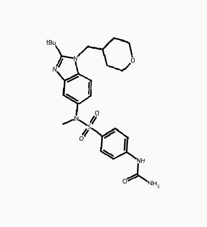 CN(c1ccc2c(c1)nc(C(C)(C)C)n2CC1CCOCC1)S(=O)(=O)c1ccc(NC(N)=O)cc1